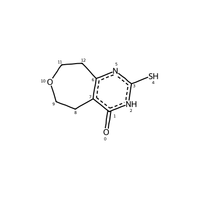 O=c1[nH]c(S)nc2c1CCOCC2